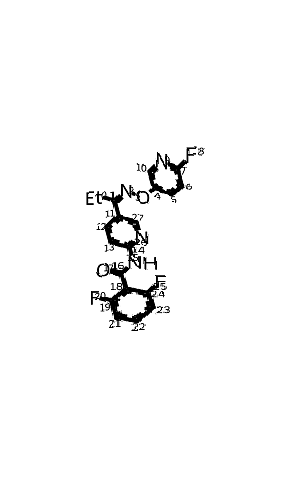 CC/C(=N/Oc1ccc(F)nc1)c1ccc(NC(=O)c2c(F)cccc2F)nc1